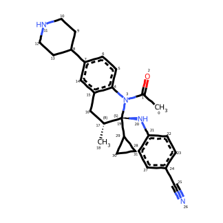 CC(=O)N1c2ccc(C3CCNCC3)cc2C[C@@H](C)[C@@]1(Nc1ccc(C#N)cc1)C1CC1